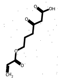 C=CC(=O)OCCCC(=O)CC(=O)O